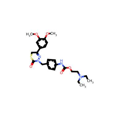 CCN(CC)CCOC(=O)Nc1ccc(CN2N=C(c3ccc(OC)c(OC)c3)CSC2=O)cc1